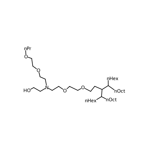 CCCCCCCCC(CCCCCC)C(CCOCCOCCN(CCO)CCOCCOCCC)C(CCCCCC)CCCCCCCC